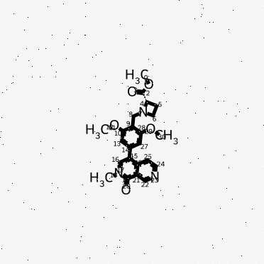 COC(=O)[C@@H]1CCN1Cc1c(OC)cc(-c2cn(C)c(=O)c3cnccc23)cc1OC